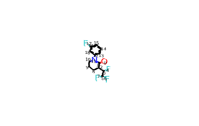 O=C1C(C(F)C(F)F)CCCN1c1cccc(F)c1